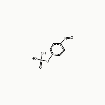 O=Nc1ccc(OP(=O)(O)O)cc1